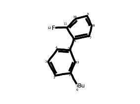 CCC(C)c1cccc(-c2ccccc2F)c1